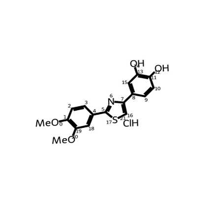 COc1ccc(-c2nc(-c3ccc(O)c(O)c3)cs2)cc1OC.Cl